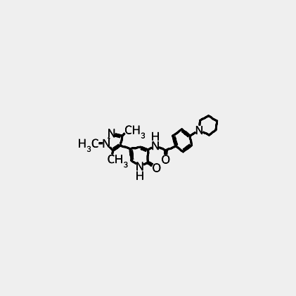 Cc1nn(C)c(C)c1-c1c[nH]c(=O)c(NC(=O)c2ccc(N3CCCCC3)cc2)c1